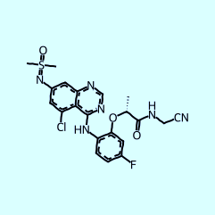 C[C@@H](Oc1cc(F)ccc1Nc1ncnc2cc(N=S(C)(C)=O)cc(Cl)c12)C(=O)NCC#N